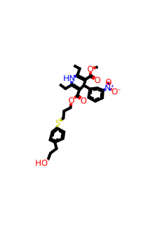 CCC1=C(C(=O)OC)C(c2cccc([N+](=O)[O-])c2)C(C(=O)OCCCSc2ccc(CCCO)cc2)=C(CC)N1